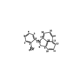 Brc1ccccc1N1Cc2cccc3cccc1c23